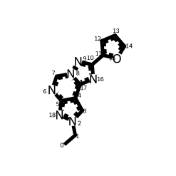 CCn1cc2c(ncn3nc(-c4ccco4)nc23)n1